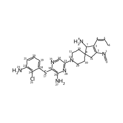 C=NC1=C(/C=C\C)C(N)C2(CCN(c3cnc(Sc4cccc(N)c4Cl)c(N)n3)CC2)C1